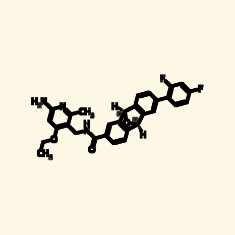 CCOc1cc(N)nc(C)c1CNC(=O)c1ccc2c(c1)[C@@H]1O[C@H]2c2cc(-c3ccc(F)cc3F)ccc21